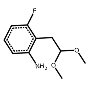 COC(Cc1c(N)cccc1F)OC